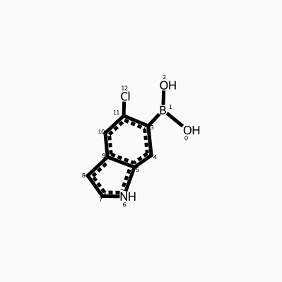 OB(O)c1cc2[nH]ccc2cc1Cl